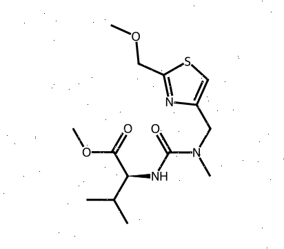 COCc1nc(CN(C)C(=O)N[C@H](C(=O)OC)C(C)C)cs1